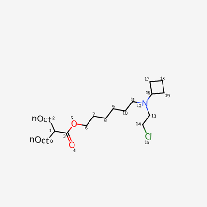 CCCCCCCCC(CCCCCCCC)C(=O)OCCCCCCN(CCCl)C1CCC1